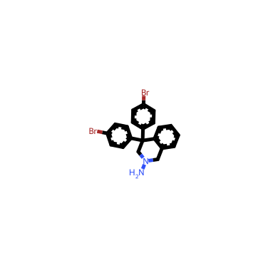 NN1Cc2ccccc2C(c2ccc(Br)cc2)(c2ccc(Br)cc2)C1